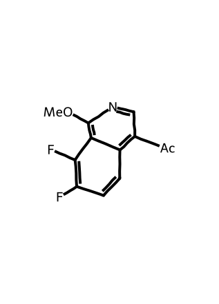 COc1ncc(C(C)=O)c2ccc(F)c(F)c12